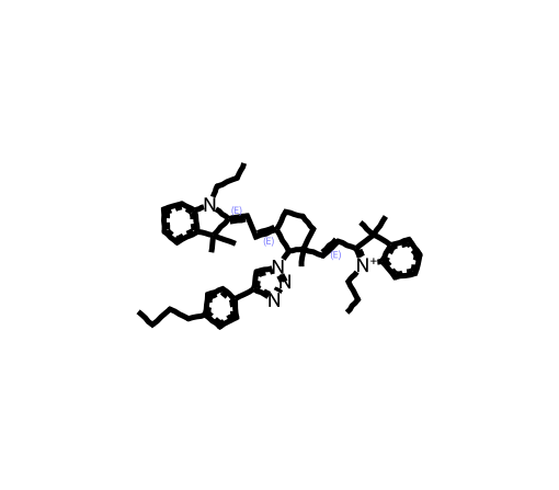 CCCCc1ccc(-c2cn(C3/C(=C/C=C4/N(CCC)c5ccccc5C4(C)C)CCCC3(C)/C=C/C3=[N+](CCC)c4ccccc4C3(C)C)nn2)cc1